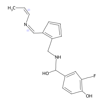 C/C=C\N=C/C1=C(CNC(O)c2ccc(O)c(F)c2)C=C=C1